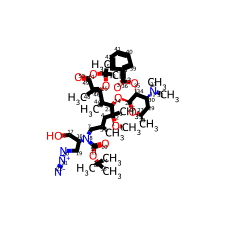 COC(C)(CC(C)CN(C(=O)OC(C)(C)C)C(CO)CN=[N+]=[N-])C(O[C@@H]1O[C@H](C)C[C@H](N(C)C)[C@H]1OC(=O)c1ccccc1)C(C)C1=C(C)C(=O)OC(C)(C)O1